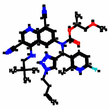 C=CCCn1cc([C@H](c2ccc(F)nc2C)N(C(=O)O[C@H](C)COC)c2cc(C#N)c3ncc(C#N)c(NCC(C)(C)C)c3c2)nn1